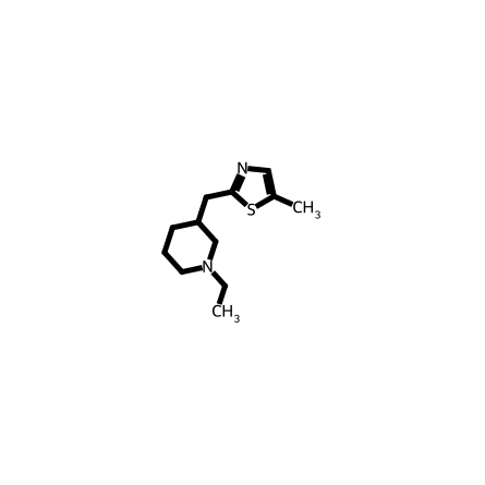 CCN1CCCC(Cc2ncc(C)s2)C1